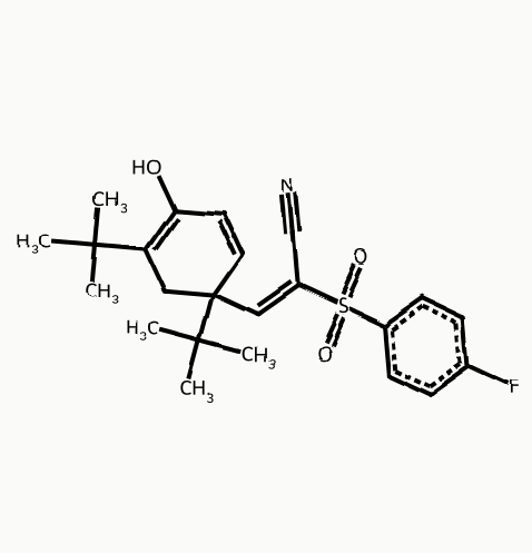 CC(C)(C)C1=C(O)C=CC(C=C(C#N)S(=O)(=O)c2ccc(F)cc2)(C(C)(C)C)C1